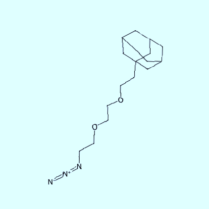 [N-]=[N+]=NCCOCCOCCC12CC3CC(CC(C3)C1)C2